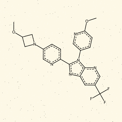 COc1ccc(-n2c(-c3ccc(N4CC(OC)C4)cn3)nc3cc(C(F)(F)F)cnc32)cn1